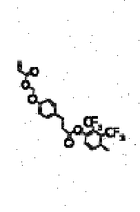 C=CC(=O)OCOc1ccc(CCC(=O)Oc2ccc(C)c(C(F)(F)F)c2C(F)(F)F)cc1